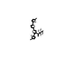 C=C(c1cc(-c2ccc(-c3ccc(C)s3)s2)sc1-c1ccc(C)s1)C(F)(F)C(C)(F)F